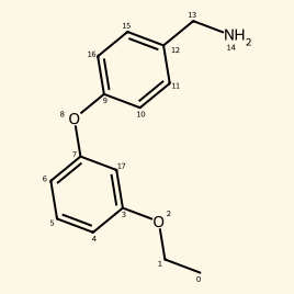 CCOc1cccc(Oc2ccc(CN)cc2)c1